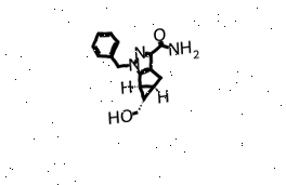 NC(=O)c1nn(Cc2ccccc2)c2c1C[C@H]1[C@H](CO)[C@@H]21